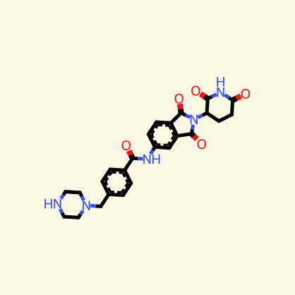 O=C1CCC(N2C(=O)c3ccc(NC(=O)c4ccc(CN5CCNCC5)cc4)cc3C2=O)C(=O)N1